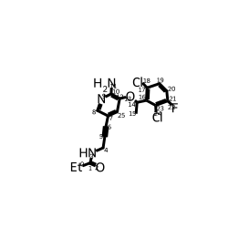 CCC(=O)NCC#Cc1cnc(N)c(OC(C)c2c(Cl)ccc(F)c2Cl)c1